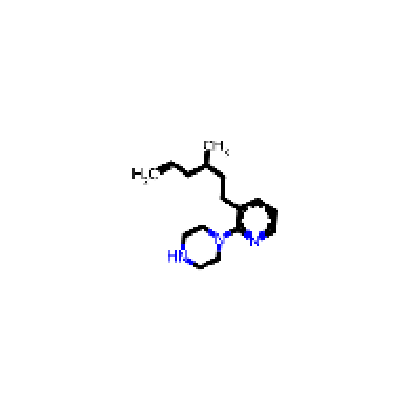 C=CCC(C)CCc1cccnc1N1CCNCC1